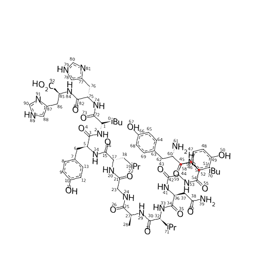 CC[C@H](C)[C@H](NC(=O)[C@H](Cc1ccc(O)cc1)NC(=O)[C@H](CC(C)C)NC(=O)CNC(=O)[C@H](C)NC(=O)[C@@H](NC(=O)[C@H](CC(N)=O)NC(=O)[C@H](Cc1ccc(O)cc1)NC(=O)[C@@H](NC(=O)[C@@H](N)Cc1ccc(O)cc1)[C@@H](C)CC)C(C)C)C(=O)N[C@@H](Cc1c[nH]cn1)C(=O)N[C@@H](Cc1c[nH]cn1)C(=O)O